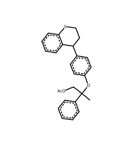 CC(=O)OCC(C)(Oc1ccc(C2CCSc3ccccc32)cc1)c1ccccc1